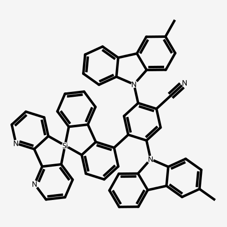 Cc1ccc2c(c1)c1ccccc1n2-c1cc(-c2cccc3c2-c2ccccc2[Si]32c3cccnc3-c3ncccc32)c(-n2c3ccccc3c3cc(C)ccc32)cc1C#N